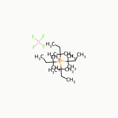 CCC(C)(C)[P+](C(C)(C)CC)(C(C)(C)CC)C(C)(C)CC.F[B-](F)(F)F